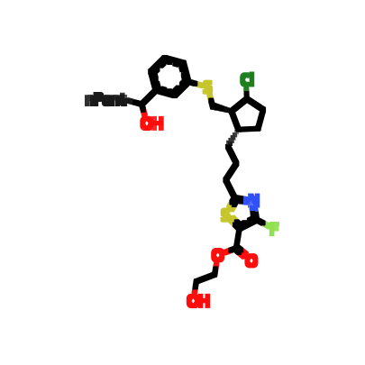 CCCCCC(O)c1cccc(SC[C@H]2C(Cl)CC[C@@H]2CCCc2nc(F)c(C(=O)OCCO)s2)c1